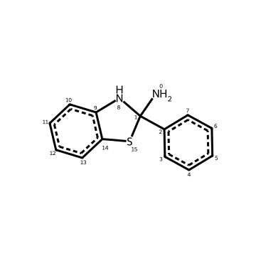 NC1(c2ccccc2)Nc2ccccc2S1